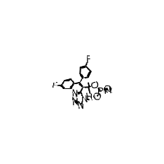 Cn1nnnc1C(=C(c1ccc(F)cc1)c1ccc(F)cc1)C(C)(C)O[PH](=O)O